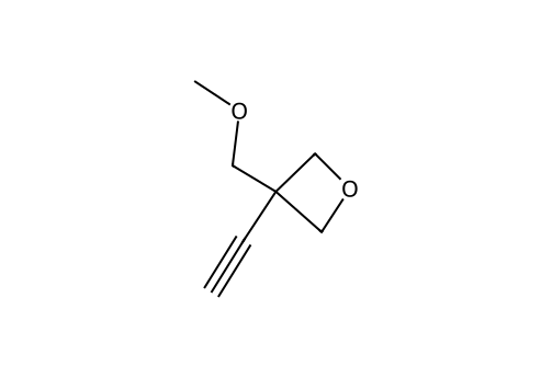 C#CC1(COC)COC1